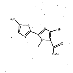 COC(=O)c1c(S)nc(-c2ncc([N+](=O)[O-])s2)n1C